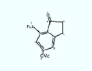 Bc1cc(OC)cc2c1C(=O)CC2